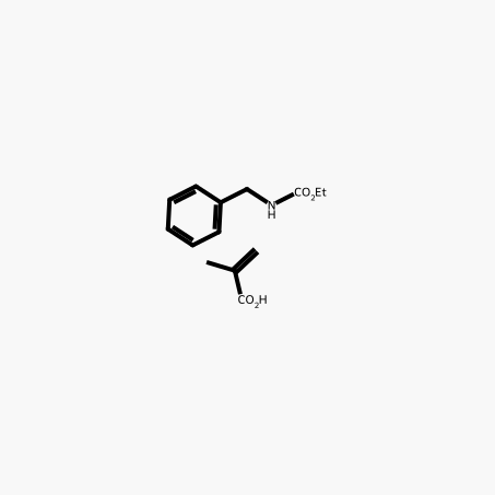 C=C(C)C(=O)O.CCOC(=O)NCc1ccccc1